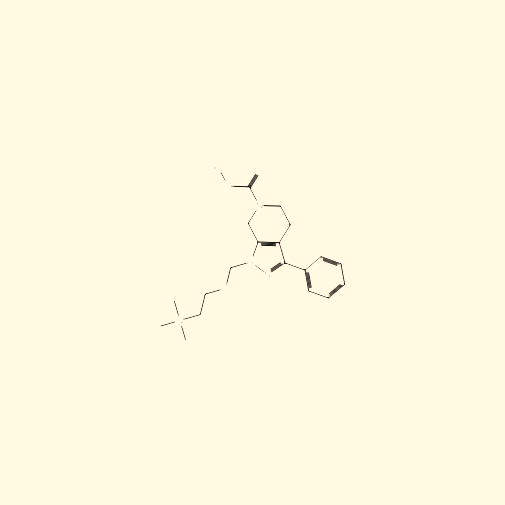 CC(C)(C)OC(=O)N1CCc2c(-c3ccccc3)nn(COCC[Si](C)(C)C)c2C1